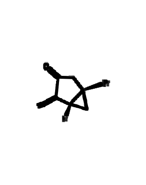 C=C1C(=O)C[C@]2(C(C)C)C[C@H]12